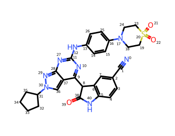 N#Cc1ccc2c(c1)C(c1nc(Nc3ccc(N4CCS(=O)(=O)CC4)cc3)nc3nn(C4CCCC4)cc13)C(=O)N2